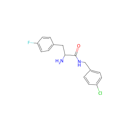 NC(Cc1ccc(F)cc1)C(=O)NCc1ccc(Cl)cc1